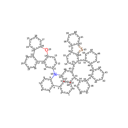 c1ccc(-c2ccccc2N(c2ccc3c(c2)-c2ccccc2-c2ccccc2O3)c2ccc3c4ccccc4c4ccccc4c4ccccc4c4c(ccc5c6ccccc6sc54)c3c2)cc1